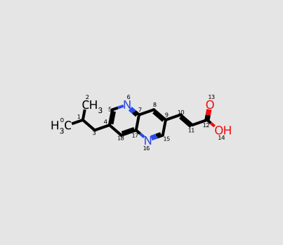 CC(C)Cc1cnc2cc(C=CC(=O)O)cnc2c1